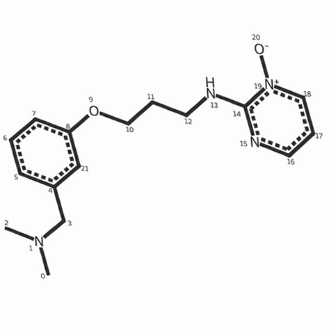 CN(C)Cc1cccc(OCCCNc2nccc[n+]2[O-])c1